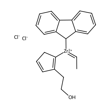 C[CH]=[Zr+2]([C]1=C(CCO)C=CC1)[CH]1c2ccccc2-c2ccccc21.[Cl-].[Cl-]